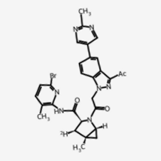 [2H][C@H]1[C@@H](C(=O)Nc2nc(Br)ccc2C)N(C(=O)Cn2nc(C(C)=O)c3cc(-c4cnc(C)nc4)ccc32)[C@@H]2C[C@]12C